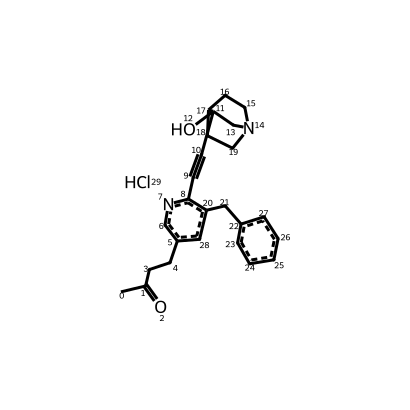 CC(=O)CCc1cnc(C#CC2(O)CN3CCC2CC3)c(Cc2ccccc2)c1.Cl